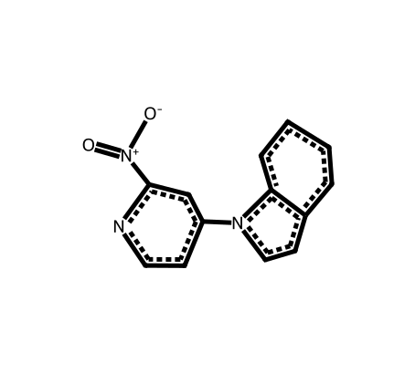 O=[N+]([O-])c1cc(-n2ccc3ccccc32)ccn1